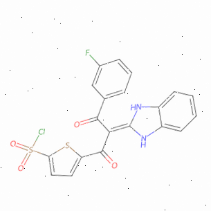 O=C(C(C(=O)c1ccc(S(=O)(=O)Cl)s1)=C1Nc2ccccc2N1)c1cccc(F)c1